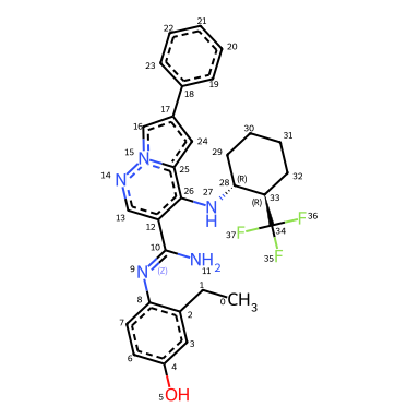 CCc1cc(O)ccc1/N=C(\N)c1cnn2cc(-c3ccccc3)cc2c1N[C@@H]1CCCC[C@H]1C(F)(F)F